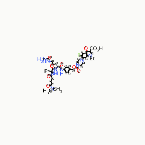 CCn1cc(C(=O)O)c(=O)c2cc(F)c(N3CCN(C(=O)OCc4ccc(NC(=O)[C@H](CCCNC(N)=O)NC(=O)[C@@H](NC(=O)CCCC(=O)N(C)C)C(C)C)cc4)CC3)cc21